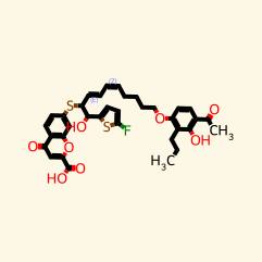 CCCc1c(OCCCC/C=C\C=C\C(Sc2ccc3c(=O)cc(C(=O)O)oc3c2)C(O)c2ccc(F)s2)ccc(C(C)=O)c1O